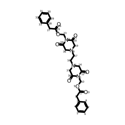 O=C(Cc1ccccc1)OCN1C(=O)CN(CCN2CC(=O)N(COC(=O)Cc3ccccc3)C(=O)C2)CC1=O